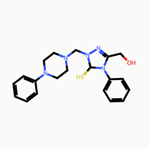 OCC1=NN(CN2CCN(c3ccccc3)CC2)C(S)N1c1ccccc1